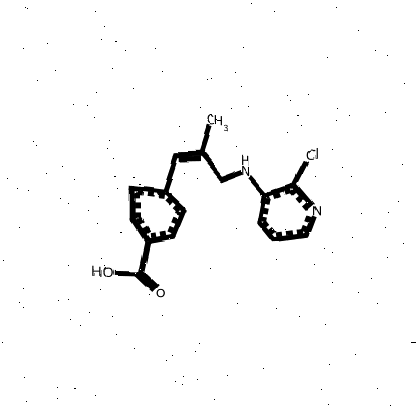 CC(=Cc1ccc(C(=O)O)cc1)CNc1cccnc1Cl